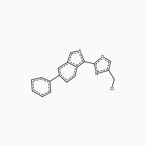 ClCc1coc(-c2scc3cc(-c4ccccc4)ccc23)n1